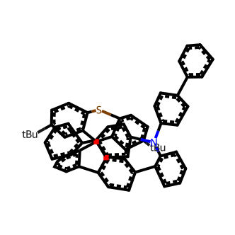 CC(C)(C)c1ccc2c(c1)C1(c3cc(C(C)(C)C)ccc3S2)c2ccccc2-c2ccc(-c3ccccc3N(c3ccc(-c4ccccc4)cc3)c3ccc(-c4ccccc4)cc3)cc21